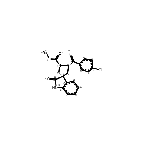 CC(C)(C)OC(=O)N1C[C@@]2(C[C@H]1C(=O)c1ccc(Cl)cc1)C(=O)Nc1ccccc12